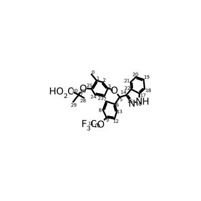 Cc1cc(OC(c2ccc(OC(F)(F)F)cc2)c2n[nH]c3ccccc23)ccc1OC(C)(C)C(=O)O